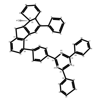 C1=CC2C(c3ccccc3)=CC3=C(Cc4cccc(-c5ccc(-c6nc(-c7ccccc7)nc(-c7ccccc7)n6)cc5)c43)[C@H]2C=C1